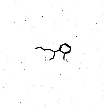 CCCCC(CO)c1ccccc1N